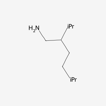 CC(C)CCC(CN)C(C)C